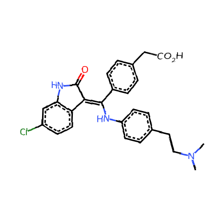 CN(C)CCc1ccc(NC(=C2C(=O)Nc3cc(Cl)ccc32)c2ccc(CC(=O)O)cc2)cc1